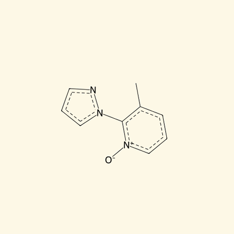 Cc1ccc[n+]([O-])c1-n1cccn1